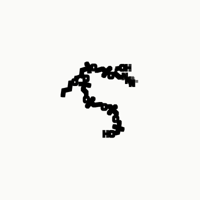 CCCCOC[C@@H](CC(C)(C)OCCC(C)(C)O[C@H](CO)CN=[N+]=[N-])OC(C)(C)CCOC(C)(C)CCOCC(C)(C)COCC(C)(C)CO